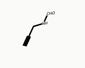 C#CCNC=O